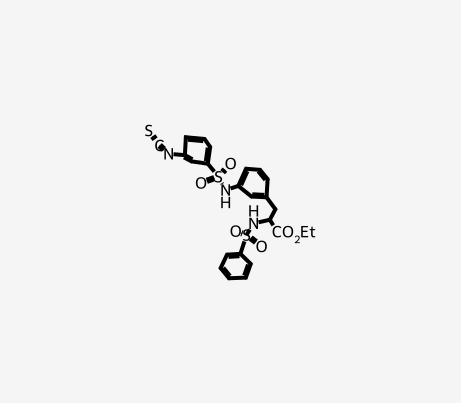 CCOC(=O)C(Cc1cccc(NS(=O)(=O)c2cccc(N=C=S)c2)c1)NS(=O)(=O)c1ccccc1